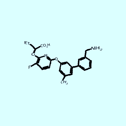 CCC(Oc1nc(Oc2cc(C)cc(-c3cccc(CN)c3)c2)ccc1F)C(=O)O